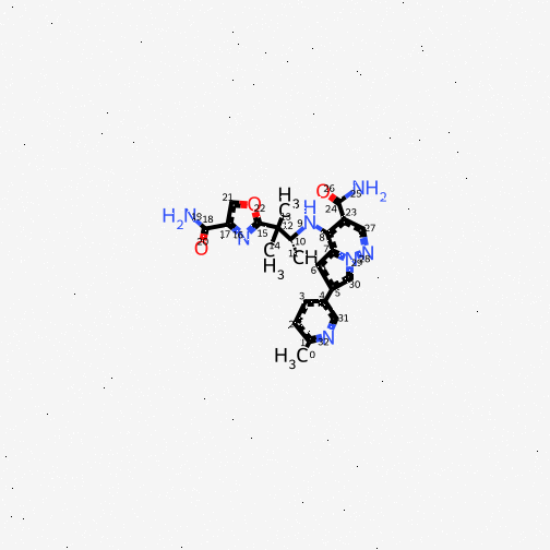 Cc1ccc(-c2cc3c(N[C@H](C)C(C)(C)c4nc(C(N)=O)co4)c(C(N)=O)cnn3c2)cn1